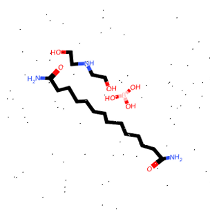 NC(=O)CCCCCCCCCCCCC(N)=O.OB(O)O.OCCNCCO